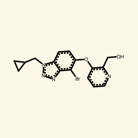 OCc1ncccc1Oc1ccc2c(nnn2CC2CC2)c1Br